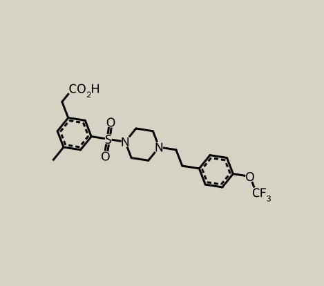 Cc1cc(CC(=O)O)cc(S(=O)(=O)N2CCN(CCc3ccc(OC(F)(F)F)cc3)CC2)c1